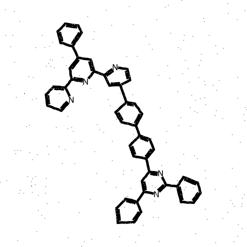 c1ccc(-c2cc(-c3ccccn3)nc(-c3cc(-c4ccc(-c5ccc(-c6cc(-c7ccccc7)nc(-c7ccccc7)n6)cc5)cc4)ccn3)c2)cc1